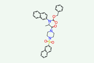 CC(C(=O)N1CCN(S(=O)(=O)c2ccc3ccccc3c2)CC1)N(C(=O)OCc1ccccc1)c1ccc2ccccc2c1